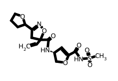 C=CC1(C(=O)N[C@@H]2C=C(C(=O)NS(C)(=O)=O)OC2)CC(C2CCCO2)=NO1